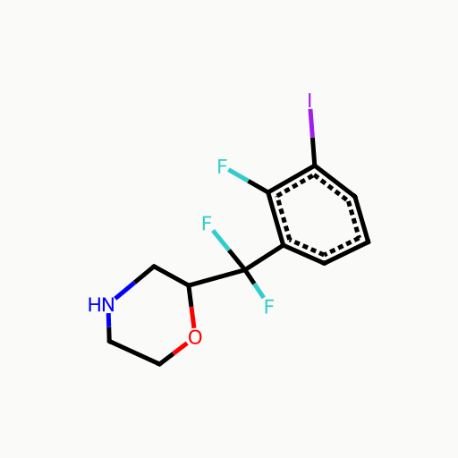 Fc1c(I)cccc1C(F)(F)C1CNCCO1